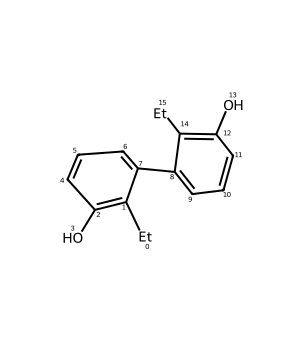 CCc1c(O)cccc1-c1cccc(O)c1CC